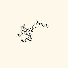 CC(C)Sc1ccc(OC(F)F)c(-c2nn(CC(=O)N3CCC(C(=O)N4CCN(C)CC4)CC3)cc2NC(=O)C2=C3N=CC=CN3N(C)C2)c1